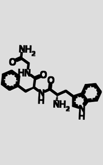 NC(=O)CNC(=O)[C@H](Cc1ccccc1)NC(=O)[C@@H](N)Cc1c[nH]c2ccccc12